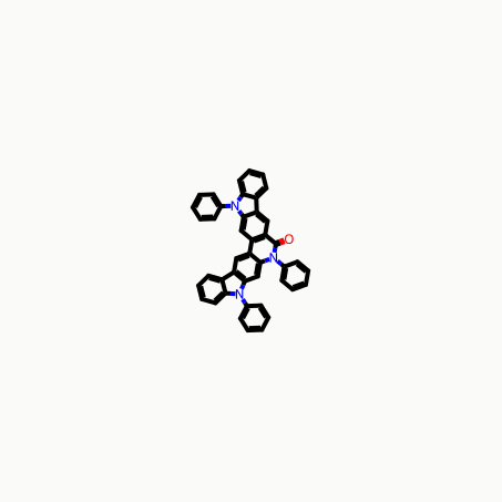 O=c1c2cc3c4ccccc4n(-c4ccccc4)c3cc2c2cc3c4ccccc4n(-c4ccccc4)c3cc2n1-c1ccccc1